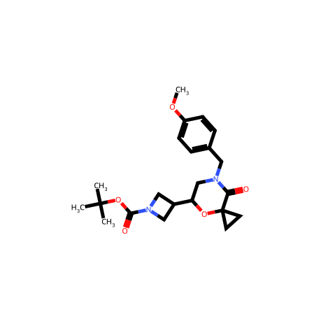 COc1ccc(CN2CC(C3CN(C(=O)OC(C)(C)C)C3)OC3(CC3)C2=O)cc1